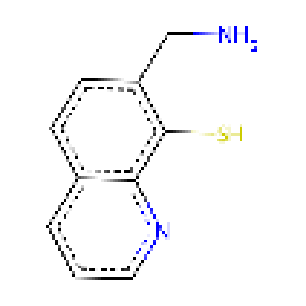 NCc1ccc2cccnc2c1S